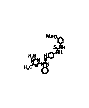 COc1cccc(NC(=S)Nc2ccc(Nc3nc4ccccc4n3-c3nc(C)nc(N)n3)cc2)c1